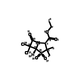 CC1(C)[C@H](C(=O)OCI)N2C(=O)C(Cl)(Cl)[C@H]2S1(=O)=O